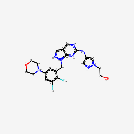 OCCn1cc(Nc2ncc3cnn(Cc4cc(N5CCOCC5)cc(F)c4F)c3n2)cn1